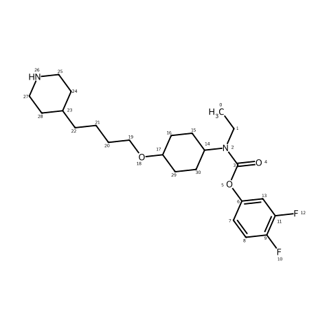 CCN(C(=O)Oc1ccc(F)c(F)c1)C1CCC(OCCCCC2CCNCC2)CC1